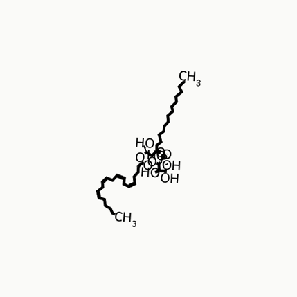 CCCCC/C=C\C/C=C\C/C=C\C/C=C\CCCC(=O)O[C@@H](CO)C(OC(C(O)CO)P(=O)(O)O)C(=O)CCCCCCCCCCCCCCC